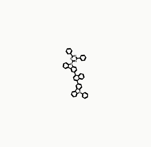 c1ccc(-c2nc(-c3ccccc3)nc(-n3c4ccccc4c4cc(-c5ccc(-c6ccc7c(c6)c6ccccc6n7-c6ccccc6)c6ccccc56)ccc43)n2)cc1